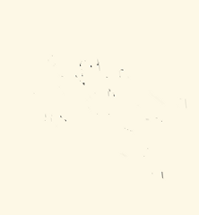 Cn1c(=O)c(Cl)c(N)c2cc(-c3ccc(Cl)cc3)c(-c3ccc(Cl)cc3Cl)nc21